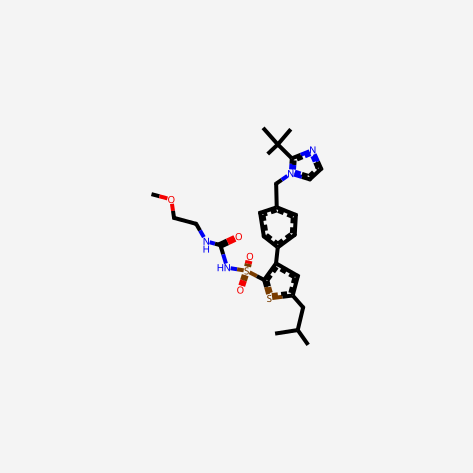 COCCNC(=O)NS(=O)(=O)c1sc(CC(C)C)cc1-c1ccc(Cn2ccnc2C(C)(C)C)cc1